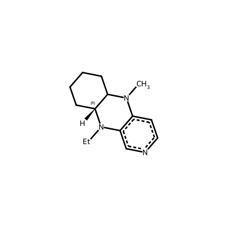 CCN1c2cnccc2N(C)C2CCCC[C@H]21